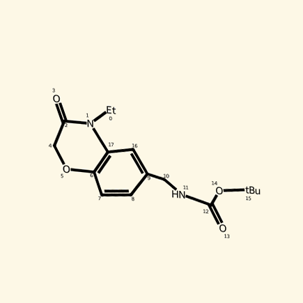 CCN1C(=O)COc2ccc(CNC(=O)OC(C)(C)C)cc21